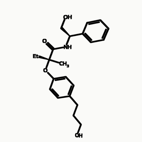 CC[C@@](C)(Oc1ccc(CCCO)cc1)C(=O)N[C@@H](CO)c1ccccc1